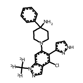 [2H]C([2H])([2H])n1ncc2c(Cl)c(-c3cc[nH]n3)c(N3CCC(N)(c4ccccc4)CC3)cc21